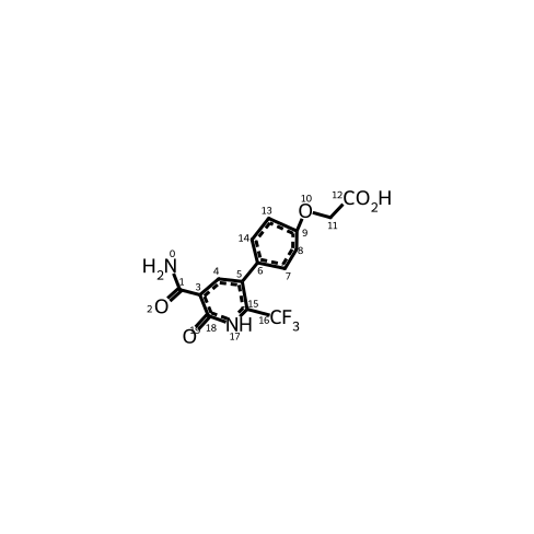 NC(=O)c1cc(-c2ccc(OCC(=O)O)cc2)c(C(F)(F)F)[nH]c1=O